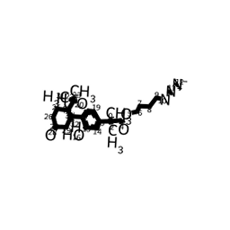 CC(C)(C(=O)OCCCCN=[N+]=[N-])c1cc(O)c2c(c1)OC(C)(C)[C@@H]1CCC(=O)C[C@@H]21